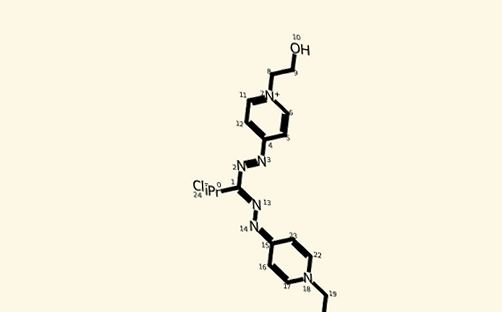 CC(C)C(N=Nc1cc[n+](CCO)cc1)=NN=c1ccn(CCO)cc1.[Cl-]